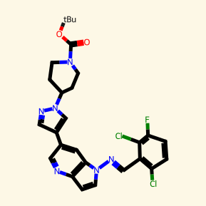 CC(C)(C)OC(=O)N1CCC(n2cc(-c3cnc4ccn(N=Cc5c(Cl)ccc(F)c5Cl)c4c3)cn2)CC1